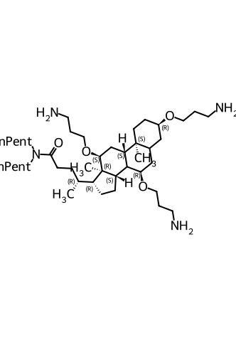 CCCCCN(CCCCC)C(=O)CC[C@@H](C)[C@H]1CC[C@H]2C3[C@H](OCCCN)CC4C[C@H](OCCCN)CC[C@]4(C)[C@H]3C[C@H](OCCCN)[C@]12C